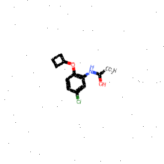 O=C(O)C(O)Nc1cc(Cl)ccc1OC1CCC1